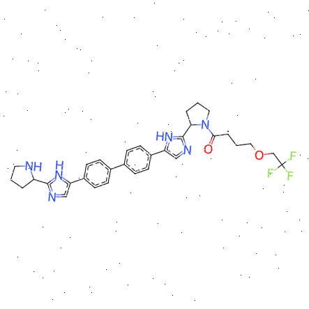 O=C([CH]CCOCC(F)(F)F)N1CCCC1c1ncc(-c2ccc(-c3ccc(-c4cnc(C5CCCN5)[nH]4)cc3)cc2)[nH]1